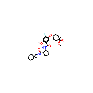 COc1cc(F)c(O[C@H]2CC[C@@](C)(C(=O)OC)CC2)cc1C(=O)N[C@@H]1CCC[C@@H]1C(=O)NCC1(C)CCCCC1